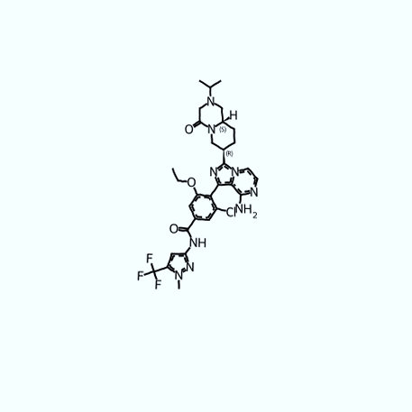 CCOc1cc(C(=O)Nc2cc(C(F)(F)F)n(C)n2)cc(Cl)c1-c1nc([C@@H]2CC[C@H]3CN(C(C)C)CC(=O)N3C2)n2ccnc(N)c12